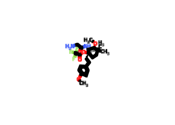 COc1ccc(CC[C@@]2(OC(=O)C(F)(F)F)CCC(C)(C)[C@H](OC)[C@H]2NC(=O)CN)cc1